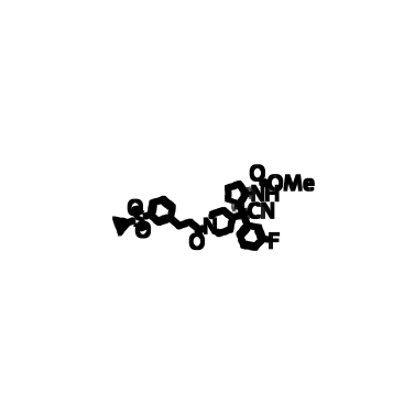 COC(=O)N[C@H]1CCC[C@@H]1[C@](C#N)(c1cccc(F)c1)C1CCN(C(=O)CCc2cccc(S(=O)(=O)C3CC3)c2)CC1